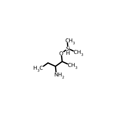 CCC(N)C(C)O[SiH](C)C